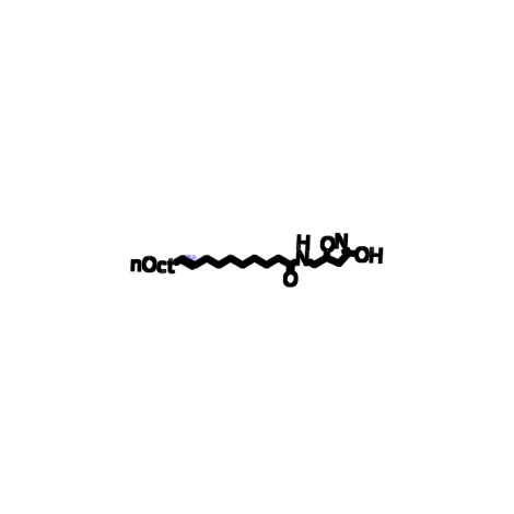 CCCCCCCC/C=C/CCCCCCCC(=O)NCC1CC(O)=NO1